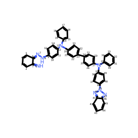 N=C1C=CC=C/C1=N/Nc1ccc(N(c2ccccc2)c2ccc(-c3ccc(N(c4ccccc4)c4ccc(-n5nc6ccccc6n5)cc4)cc3)cc2)cc1